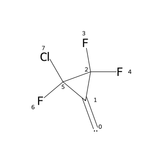 [C]=C1C(F)(F)C1(F)Cl